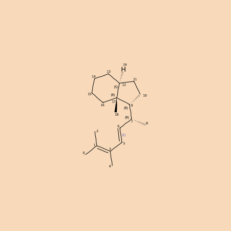 CC(C)=C(C)/C=C/[C@@H](C)[C@H]1CC[C@@H]2CCCC[C@]21C